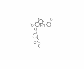 CCOC(=O)CN1CCCC(COc2cc3c(Nc4cccc(Br)c4)ncnc3cc2OC)C1